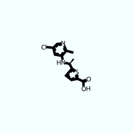 Cc1ncc(Cl)cc1N[C@@H](C)c1ccc(C(=O)O)s1